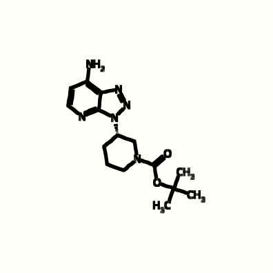 CC(C)(C)OC(=O)N1CCC[C@H](n2nnc3c(N)ccnc32)C1